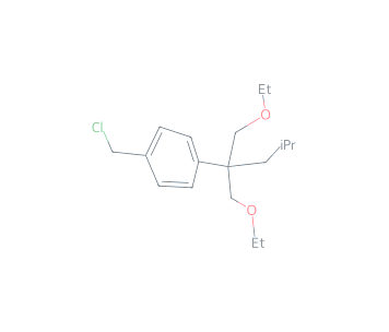 CCOCC(COCC)(CC(C)C)c1ccc(CCl)cc1